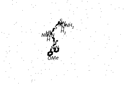 COc1ccc(CN(CCN(C)CCC/N=C(\NC#N)NCCSCc2csc(N=C(N)N)n2)c2ccccn2)cc1